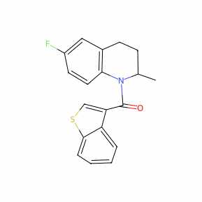 CC1CCc2cc(F)ccc2N1C(=O)c1csc2ccccc12